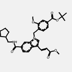 COC(=O)C=Cc1cn(Cc2ccc(C(=O)OC(C)(C)C)cc2OC)c2cc(C(=O)NCC3CCCC3)ccc12